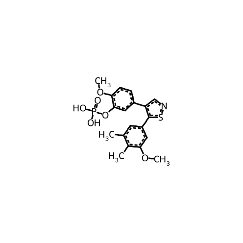 COc1ccc(-c2cnsc2-c2cc(C)c(C)c(OC)c2)cc1OP(=O)(O)O